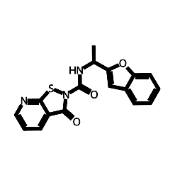 CC(NC(=O)n1sc2ncccc2c1=O)c1cc2ccccc2o1